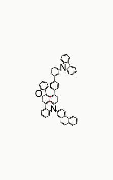 c1cc(-c2ccc(-c3ccc(N(c4ccc5c(ccc6ccccc65)c4)c4ccccc4-c4ccc5c(c4)oc4ccccc45)cc3)cc2)cc(-n2c3ccccc3c3ccccc32)c1